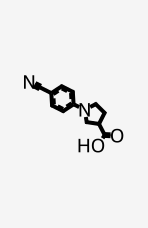 N#Cc1ccc(N2CCC(C(=O)O)C2)cc1